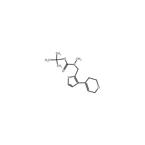 CN(Cc1sccc1C1=CCOCC1)C(=O)OC(C)(C)C